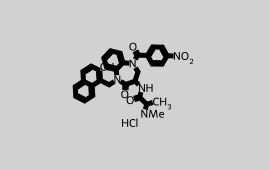 CNC(C)C(=O)NC1CN(C(=O)c2ccc([N+](=O)[O-])cc2)c2ccccc2N(Cc2c(C)ccc3ccccc23)C1=O.Cl